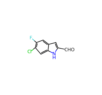 O=Cc1cc2cc(F)c(Cl)cc2[nH]1